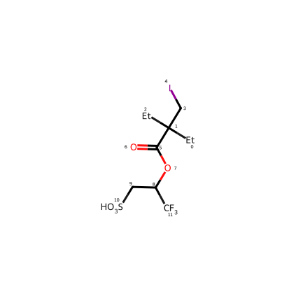 CCC(CC)(CI)C(=O)OC(CS(=O)(=O)O)C(F)(F)F